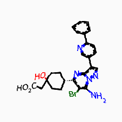 Nc1c(Br)c([C@H]2CC[C@](O)(CC(=O)O)CC2)nc2c(-c3ccc(-c4ccccc4)nc3)cnn12